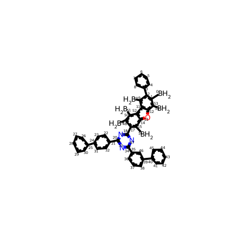 Bc1c(-c2ccccc2)c(B)c2c(oc3c(B)c(-c4nc(-c5ccc(-c6ccccc6)cc5)nc(-c5cccc(-c6ccccc6)c5)n4)c(B)c(B)c32)c1B